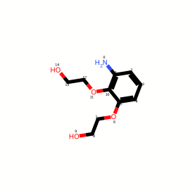 Nc1cccc(OCCO)c1OCCO